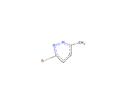 [CH2]c1ccc(Br)nn1